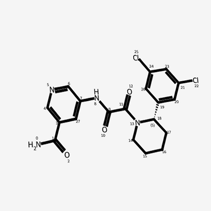 NC(=O)c1cncc(NC(=O)C(=O)N2CCCC[C@H]2c2cc(Cl)cc(Cl)c2)c1